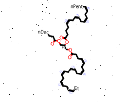 CC/C=C\C/C=C\C/C=C\C/C=C\C/C=C\C/C=C\CCC(=O)OC[C@@H](COC(=O)CCCCCCCCCCCC)OC(=O)CCC/C=C\C/C=C\C/C=C\C/C=C\CCCCC